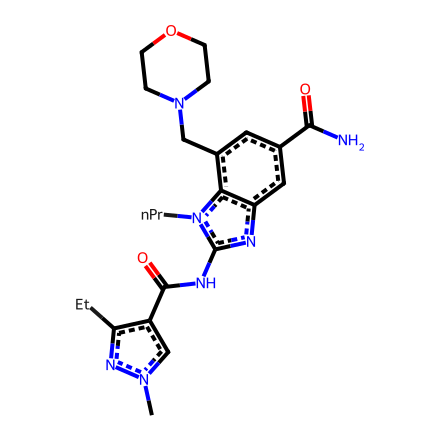 CCCn1c(NC(=O)c2cn(C)nc2CC)nc2cc(C(N)=O)cc(CN3CCOCC3)c21